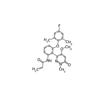 C=CC(=O)Nc1cccc(Oc2c(C)cc(F)cc2C)c1-c1nn(C)c(=O)cc1OC